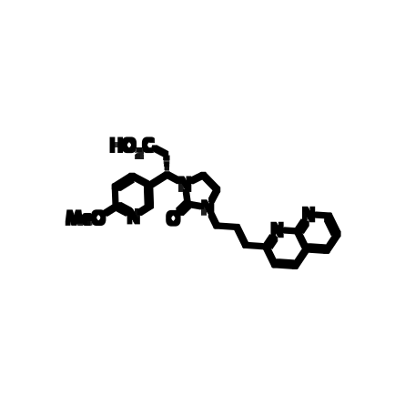 COc1ccc([C@H](CC(=O)O)N2CCN(CCCc3ccc4cccnc4n3)C2=O)cn1